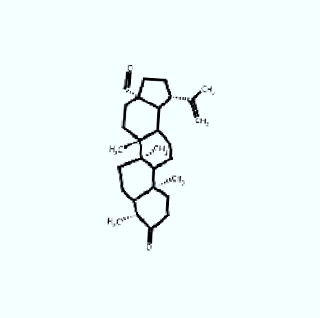 C=C(C)[C@H]1CC[C@]2(C=O)CC[C@]3(C)C(CCC4[C@@]5(C)CCC(=O)[C@H](C)C5CC[C@]43C)C12